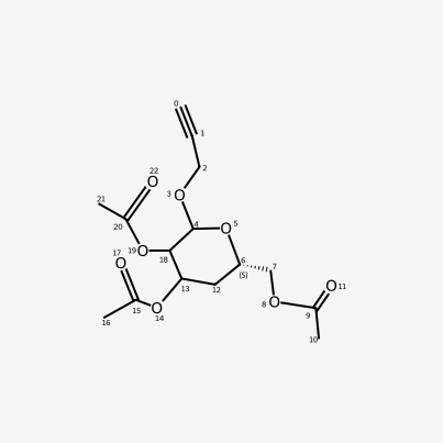 C#CCOC1O[C@H](COC(C)=O)CC(OC(C)=O)C1OC(C)=O